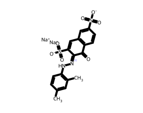 Cc1ccc(N/N=C2/C(=O)c3ccc(S(=O)(=O)[O-])cc3C=C2S(=O)(=O)[O-])c(C)c1.[Na+].[Na+]